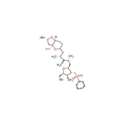 C=C([C@H](C)CC1CC[C@@H]2O[C@@H](CCCC)C[C@]2(CI)O1)[C@H](C)C[C@@H]1O[C@H](CC(C)CC)[C@H](C)[C@H]1CS(=O)(=O)c1ccccc1